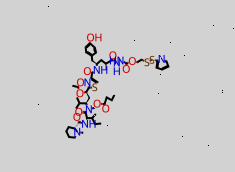 CCCC(=O)OCN(C(=O)[C@@H](NC(=O)[C@H]1CCCCN1C)C(C)CC)[C@H](C[C@@H](OC(C)=O)c1nc(C(=O)N[C@@H](Cc2ccc(O)cc2)C[C@H](C)C(=O)NNC(=O)OCCSSc2ccccn2)cs1)C(C)C